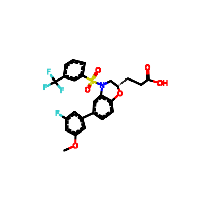 COc1cc(F)cc(-c2ccc3c(c2)N(S(=O)(=O)c2cccc(C(F)(F)F)c2)C[C@H](CCC(=O)O)O3)c1